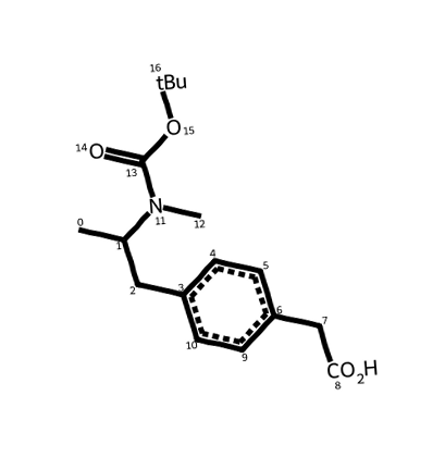 CC(Cc1ccc(CC(=O)O)cc1)N(C)C(=O)OC(C)(C)C